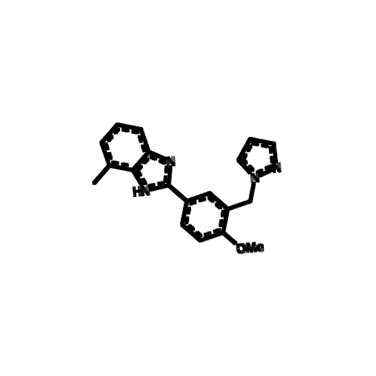 COc1ccc(-c2nc3cccc(C)c3[nH]2)cc1Cn1cccn1